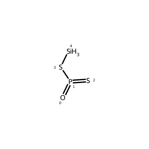 O=P(=S)S[SiH3]